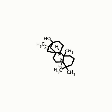 C[C@H]1CC23CC[C@@H]4C(C)(C)CCCC4(C)[C@@H]2CCC1(O)C3